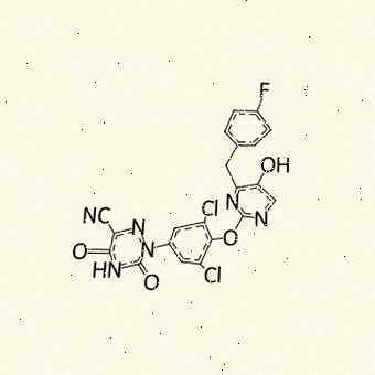 N#Cc1nn(-c2cc(Cl)c(Oc3ncc(O)c(Cc4ccc(F)cc4)n3)c(Cl)c2)c(=O)[nH]c1=O